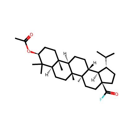 CC(=O)O[C@H]1CC[C@]2(C)[C@H]3CC[C@@H]4[C@H]5[C@H](C(C)C)CC[C@]5(C(=O)F)CC[C@@]4(C)[C@]3(C)CC[C@H]2C1(C)C